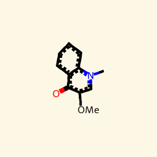 COc1cn(C)c2ccccc2c1=O